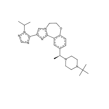 CC(C)n1ncnc1-c1cn2c(n1)-c1cc([C@H](C)N3CCN(C(C)(C)C)CC3)ccc1OCC2